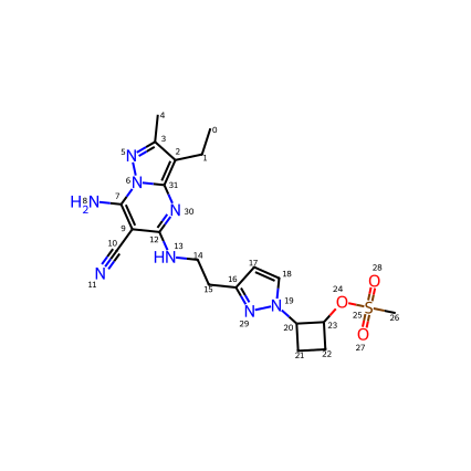 CCc1c(C)nn2c(N)c(C#N)c(NCCc3ccn(C4CCC4OS(C)(=O)=O)n3)nc12